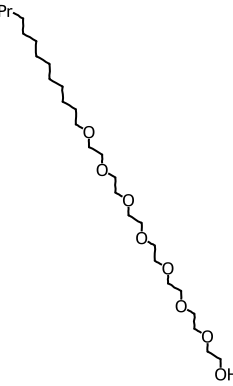 CC(C)CCCCCCCCCCOCCOCCOCCOCCOCCOCCOCCO